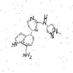 Cn1cc(Nc2nccc(-c3ccc(N)c4[nH]ccc34)n2)cn1